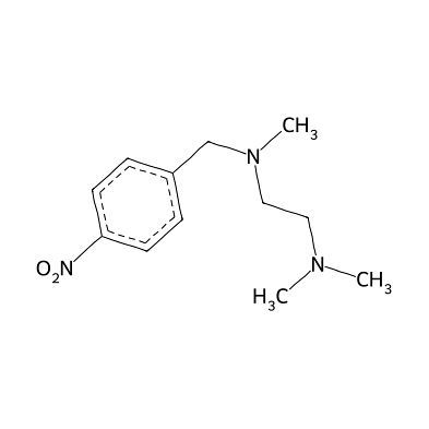 CN(C)CCN(C)Cc1ccc([N+](=O)[O-])cc1